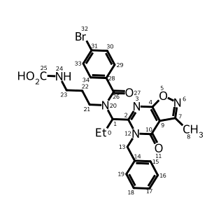 CCC(c1nc2onc(C)c2c(=O)n1Cc1ccccc1)N(CCCNC(=O)O)C(=O)c1ccc(Br)cc1